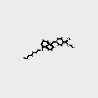 CCCCCCCOc1cccc2c(CN3CCC(C(=O)OCC)CC3)cccc12